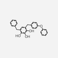 Oc1c(Cc2ccccc2)cc(Cc2ccc(Oc3ccccc3)cc2)c(O)c1O